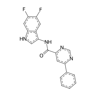 O=C(Nc1c[nH]c2cc(F)c(F)cc12)c1cc(-c2ccccc2)ncn1